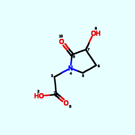 O=C(O)CN1CCC(O)C1=O